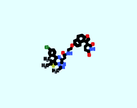 Cc1sc2c(c1C)C(c1ccc(Cl)cc1)=N[C@@H](CC(=O)NCCOc1ccc3c(ccc4occ(C5CCC(=O)NC5=O)c43)c1)c1nnc(C)n1-2